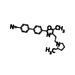 Cc1oc(-c2ccc(-c3ccc(C#N)cc3)cc2)nc1CCN1CCCC1C